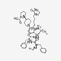 CC(C)C[C@@H](NC(=O)[C@@H](Cc1ccccc1)NC(=O)[C@H](N)Cc1ccccc1)C(=O)N[C@H](CCCCNC(N)=O)C(=O)N1CCC(N2CCC[C@H]2C(=O)O)CC1